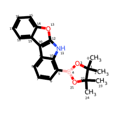 CC1(C)OB(c2cccc3c2[nH]c2oc4ccccc4c23)OC1(C)C